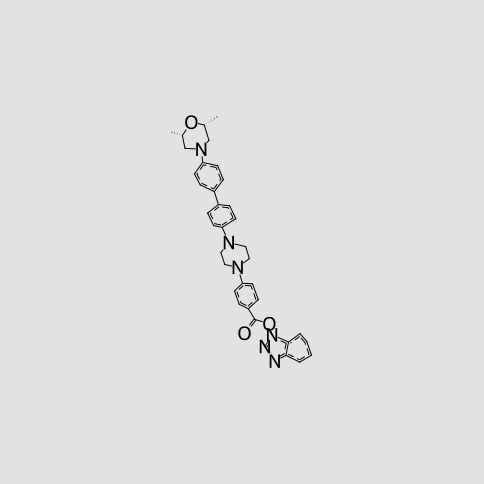 C[C@@H]1CN(c2ccc(-c3ccc(N4CCN(c5ccc(C(=O)On6nnc7ccccc76)cc5)CC4)cc3)cc2)C[C@H](C)O1